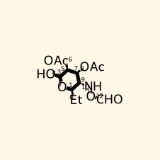 CC[C@H]1OC(O)[C@@H](OC(C)=O)[C@@H](OC(C)=O)[C@@H]1NOC=O